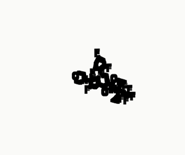 O=C(NC(C1CC1)(C1CC1)C(F)(F)C(F)(F)F)c1cn(-c2c(F)cc(F)cc2F)c2nc(N3CCOCC3)c(F)cc2c1=O